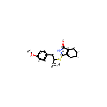 CC(C)Oc1ccc(CC(SC2NC(=O)C3=C2CCCC3)C(=O)O)cc1